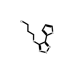 ClCCCSc1nsnc1-c1cccs1